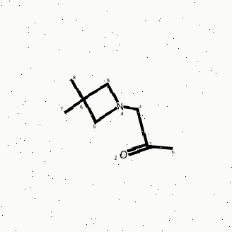 CC(=O)CN1CC(C)(C)C1